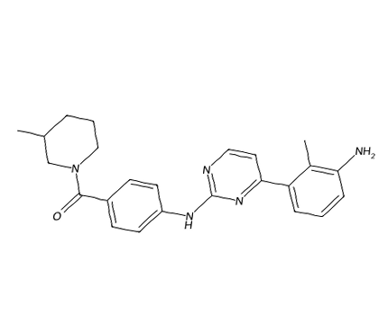 Cc1c(N)cccc1-c1ccnc(Nc2ccc(C(=O)N3CCCC(C)C3)cc2)n1